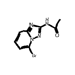 CC(=O)Nc1nc2cccc(Br)n2n1